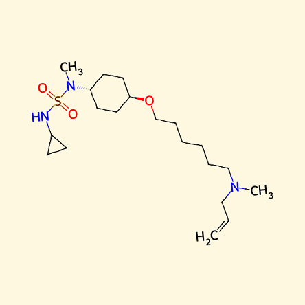 C=CCN(C)CCCCCCO[C@H]1CC[C@H](N(C)S(=O)(=O)NC2CC2)CC1